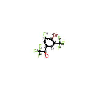 O=C(c1cc(F)c(Br)c(C(F)(F)F)c1)C(F)(F)F